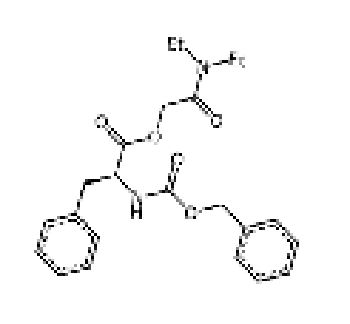 CCN(CC)C(=O)COC(=O)[C@H](Cc1ccccc1)NC(=O)OCc1ccccc1